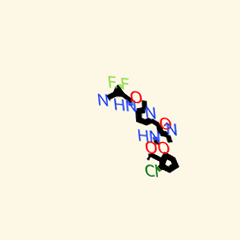 Cc1nc(-c2onc(C)c2NC(=O)O[C@H](C)c2ccccc2Cl)ccc1NC(=O)C1C(C#N)C1(F)F